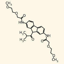 COCCOCC(=O)Nc1ccc2c(c1)C(C(=O)C(C)C)c1cc(NC(=O)COCCOC)ccc1-2